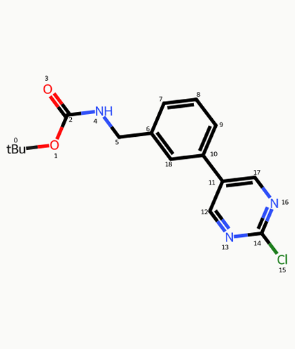 CC(C)(C)OC(=O)NCc1cccc(-c2cnc(Cl)nc2)c1